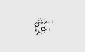 Cc1cc(Nc2nc(Nc3ccc(S(N)(=O)=O)cc3)ncc2F)ccc1OC(C)C(N)=O